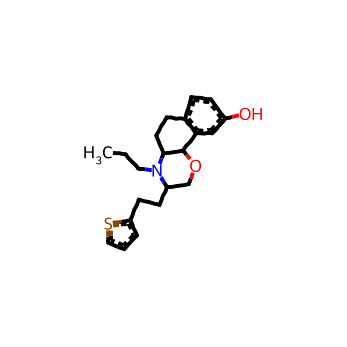 CCCN1C(CCc2cccs2)COC2c3cc(O)ccc3CCC21